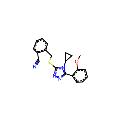 COc1ccccc1-c1nnc(SCc2ccccc2C#N)n1C1CC1